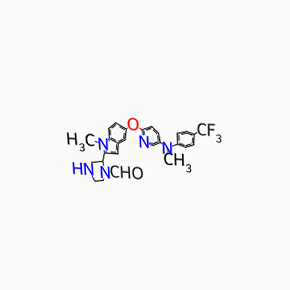 CN(c1ccc(C(F)(F)F)cc1)c1ccc(Oc2ccc3c(c2)cc(C2CNCCN2C=O)n3C)nc1